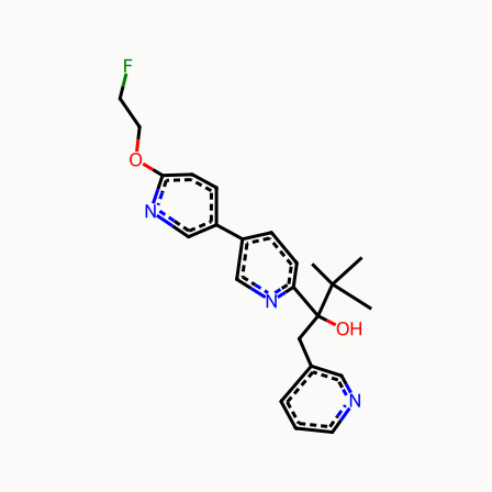 CC(C)(C)C(O)(Cc1cccnc1)c1ccc(-c2ccc(OCCF)nc2)cn1